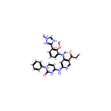 CCC(=O)c1cnc(Nc2ccn(-c3ccccc3)c(=O)n2)cc1N(C)c1cccc(-c2ncn(C)n2)c1OC